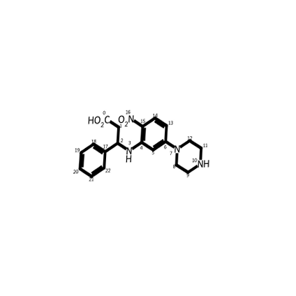 O=C(O)CC(Nc1cc(N2CCNCC2)ccc1[N+](=O)[O-])c1ccccc1